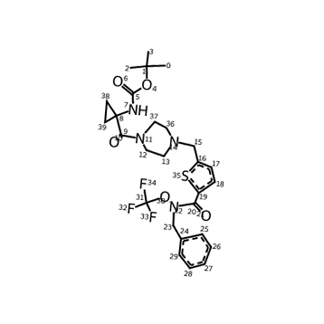 CC(C)(C)OC(=O)NC1(C(=O)N2CCN(Cc3ccc(C(=O)N(Cc4ccccc4)OC(F)(F)F)s3)CC2)CC1